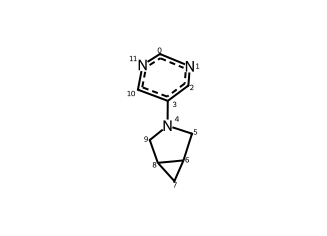 c1ncc(N2CC3CC3C2)cn1